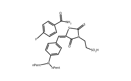 CCCCCN(CCCCC)c1ccc(C=C2SC(=S)N(CCS(=O)(=O)O)C2=O)cc1.NC(=O)c1ccc(F)cc1